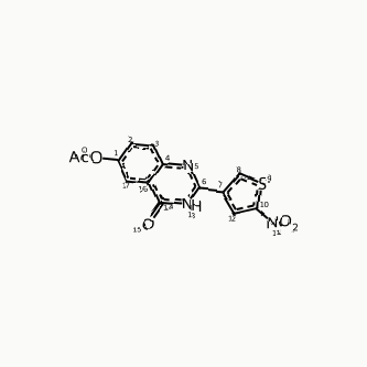 CC(=O)Oc1ccc2nc(-c3csc([N+](=O)[O-])c3)[nH]c(=O)c2c1